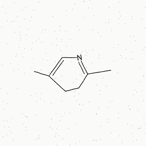 CC1=CN=C(C)CC1